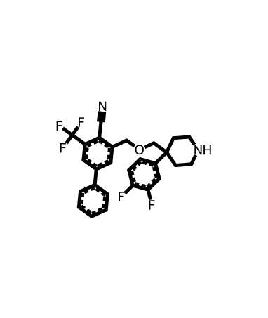 N#Cc1c(COCC2(c3ccc(F)c(F)c3)CCNCC2)cc(-c2ccccc2)cc1C(F)(F)F